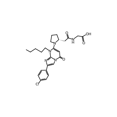 CCCCCn1c(N2CCC[C@@H]2CC(=O)NCC(=O)O)cc(=O)n2cc(-c3ccc(Cl)cc3)nc12